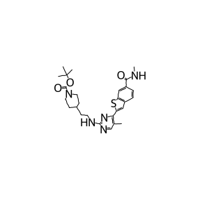 CNC(=O)c1ccc2cc(-c3nc(NCCC4CCN(C(=O)OC(C)(C)C)CC4)ncc3C)sc2c1